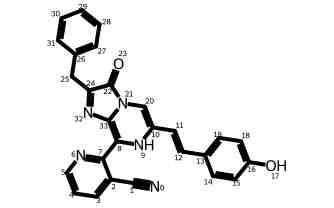 N#Cc1cccnc1-c1[nH]c(C=Cc2ccc(O)cc2)cn2c(=O)c(Cc3ccccc3)nc1-2